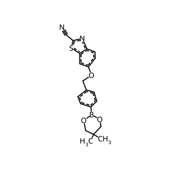 CC1(C)COB(c2ccc(COc3ccc4nc(C#N)sc4c3)cc2)OC1